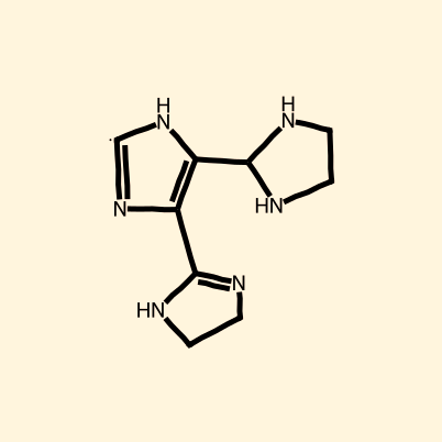 [c]1nc(C2=NCCN2)c(C2NCCN2)[nH]1